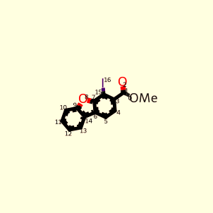 COC(=O)c1ccc2c(oc3ccccc32)c1I